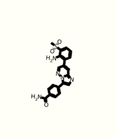 CS(=O)(=O)c1cccc(-c2cnn3c(-c4ccc(C(N)=O)cc4)cnc3c2)c1N